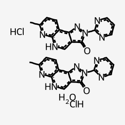 Cc1ccc2c3nn(-c4ncccn4)c(=O)c-3c[nH]c2n1.Cc1ccc2c3nn(-c4ncccn4)c(=O)c-3c[nH]c2n1.Cl.Cl.O